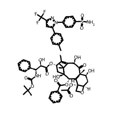 CC(=O)O[C@@]12CO[C@@H]1C[C@H](O)[C@@]1(C)C(=O)[C@H](O)C3=C(C)[C@@H](OC(=O)[C@H](O)[C@@H](NC(=O)OC(C)(C)C)c4ccccc4)C[C@@](O)([C@@H](OC(=O)c4ccccc4)[C@H]21)C3(C)C.Cc1ccc(-c2cc(C(F)(F)F)nn2-c2ccc(S(N)(=O)=O)cc2)cc1